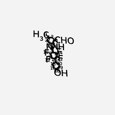 Cc1cc(C=O)c2[nH]c(-c3c(F)c(F)c(-c4ccc(O)cc4)c(F)c3F)nc2c1